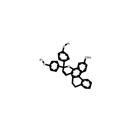 COc1ccc2c3c(c4c(c2c1)OC(c1ccc(OC(C)C)cc1)(c1ccc(OC(C)C)cc1)C=C4)CCc1ccccc1-3